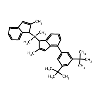 CC1=Cc2ccccc2C1[Si](C)(C)C1C(C)=Cc2c(-c3cc(C(C)(C)C)cc(C(C)(C)C)c3)cccc21